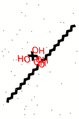 CCCCCCCCCCCCCCCCOCCCCCCCCCCCCCCCC.OCC(CO)(CO)CO